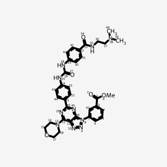 COC(=O)c1cccc(-n2nnc3c(N4CCOCC4)nc(-c4ccc(NC(=O)Nc5ccc(C(=O)NCCN(C)C)cc5)cc4)nc32)c1